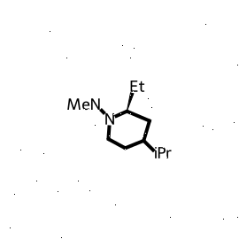 CC[C@H]1CC(C(C)C)CCN1NC